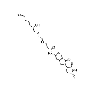 NCCOCC(O)COCCOCCC(=O)Nc1ccc2c(c1)CN(C1CCC(=O)NC1=O)C2=O